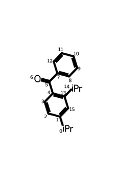 CC(C)c1ccc(C(=O)c2ccccc2)c(C(C)C)c1